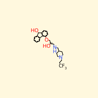 OC1c2ccccc2-c2c(OC[C@@H](O)CNCC3CCN(CCC(F)(F)F)CC3)cccc21